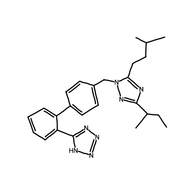 CCC(C)c1nc(CCC(C)C)n(Cc2ccc(-c3ccccc3-c3nnn[nH]3)cc2)n1